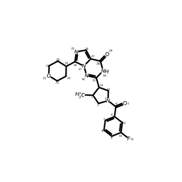 CC1CN(C(=O)c2cccc(F)c2)CC1c1nn2c(C3CCOCC3)ncc2c(=O)[nH]1